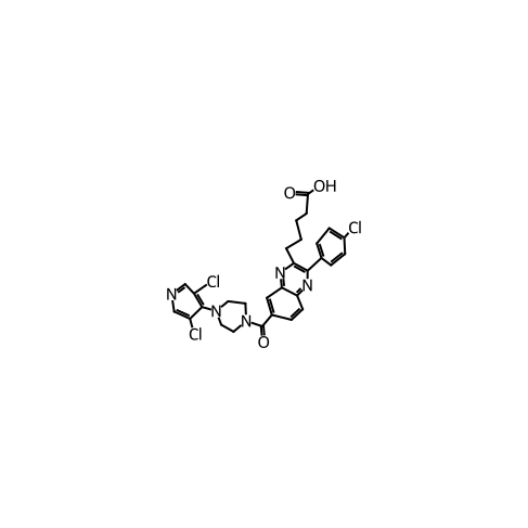 O=C(O)CCCCc1nc2cc(C(=O)N3CCN(c4c(Cl)cncc4Cl)CC3)ccc2nc1-c1ccc(Cl)cc1